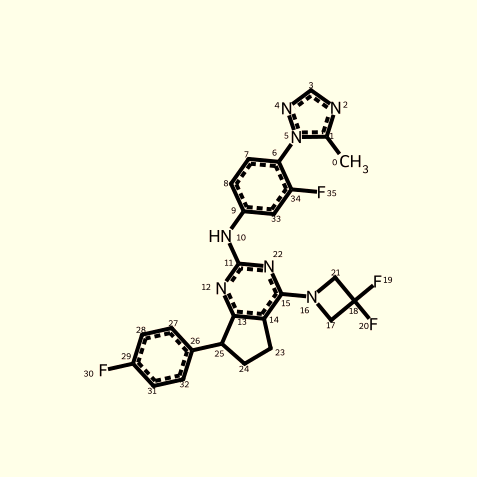 Cc1ncnn1-c1ccc(Nc2nc3c(c(N4CC(F)(F)C4)n2)CCC3c2ccc(F)cc2)cc1F